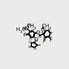 COc1ccc(F)c(F)c1COc1cc(N(C)C)c(F)cc1OC1CCCC1